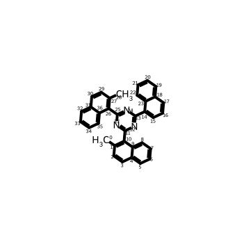 Cc1ccc2ccccc2c1-c1nc(-c2cccc3ccccc23)nc(-c2c(C)ccc3ccccc23)n1